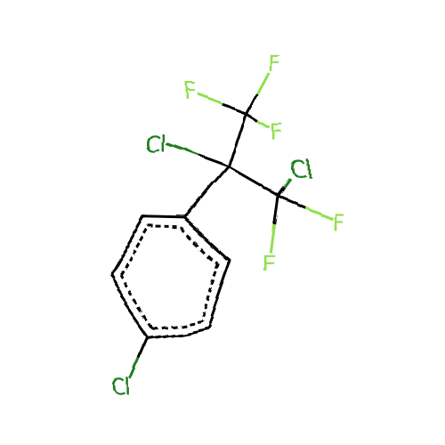 FC(F)(F)C(Cl)(c1ccc(Cl)cc1)C(F)(F)Cl